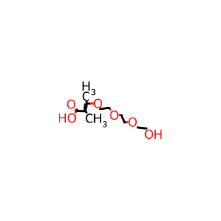 CC(OCCOCCOCCO)=C(C)C(=O)O